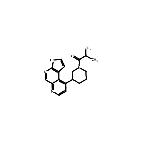 CC(C)C(=O)N1CCCC(c2ccnc3cnc4[nH]ccc4c23)C1